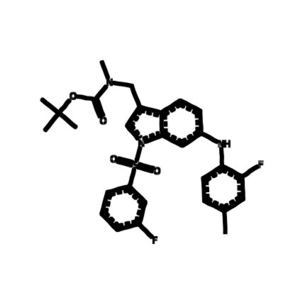 Cc1ccc(Nc2ccc3c(CN(C)C(=O)OC(C)(C)C)cn(S(=O)(=O)c4cccc(F)c4)c3c2)c(F)c1